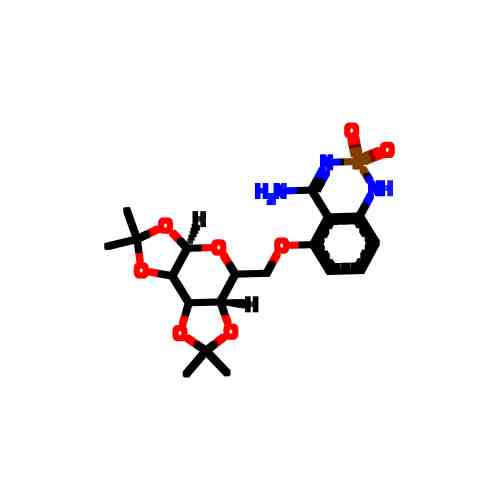 CC1(C)OC2C3OC(C)(C)O[C@H]3C(COc3cccc4c3C(N)=NS(=O)(=O)N4)O[C@@H]2O1